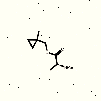 CN[C@@H](C)C(=O)OCC1(C)CC1